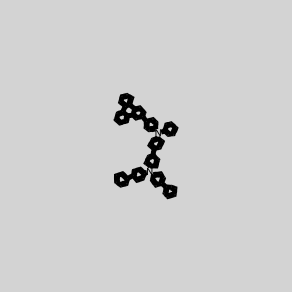 c1ccc(-c2ccc(N(c3ccc(-c4ccccc4)cc3)c3ccc(-c4ccc(N(c5ccccc5)c5ccc(-c6ccc7c8ccccc8c8ccccc8c7c6)cc5)cc4)cc3)cc2)cc1